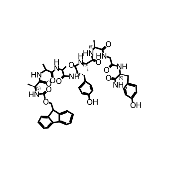 CC(NC(=O)C(C)NC(=O)[C@H](C)NC(=O)OCC1c2ccccc2-c2ccccc21)C(=O)N[C@@H](Cc1ccc(O)cc1)C(=O)N[C@@H](C)C(=O)N[C@@H](C)C(=O)NCC(=O)N[C@@H](Cc1ccc(O)cc1)C(N)=O